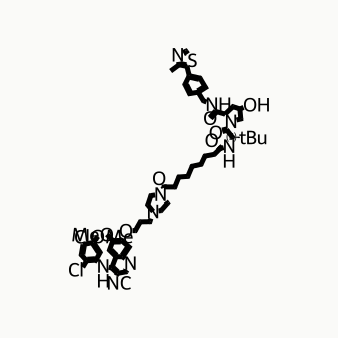 COc1cc(Nc2c(C#N)cnc3cc(OCCCN4CCN(C(=O)CCCCCCCC(=O)N[C@H](C(=O)N5CC(O)CC5C(=O)NCc5ccc(-c6scnc6C)cc5)C(C)(C)C)CC4)c(OC)cc23)c(Cl)cc1Cl